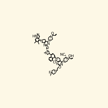 C=CC(=O)N1CCN(c2nc(OC[C@@H]3CC(c4ccc(N5CCc6c(nc(OCCN7CCC(F)(F)CC7)nc6N6CCN(C(O)C=C)[C@@H](CC#N)C6)C5)c5c(Cl)cccc45)CN3C)nc3c2CCN(c2c(C)c(C)cc4[nH]ncc24)C3)CC1